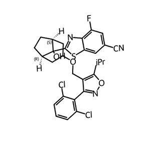 CC(C)c1onc(-c2c(Cl)cccc2Cl)c1COC1C[C@H]2CC[C@@H](C1)C2(O)c1nc2c(F)cc(C#N)cc2s1